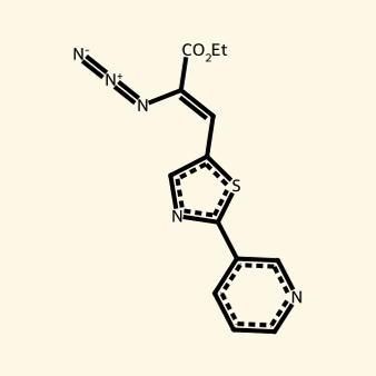 CCOC(=O)/C(=C/c1cnc(-c2cccnc2)s1)N=[N+]=[N-]